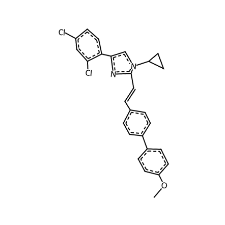 COc1ccc(-c2ccc(C=Cc3nc(-c4ccc(Cl)cc4Cl)cn3C3CC3)cc2)cc1